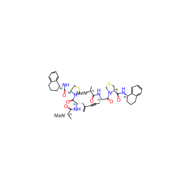 C=C(C#CC[C@H](NC(=O)[C@H](C)NC)C(=O)N1CSC[C@H]1C(=O)N[C@@H]1CCCc2ccccc21)C[C@H](NC(=O)[C@H](C)NC)C(=O)N1CSC[C@H]1C(=O)N[C@@H]1CCCc2ccccc21